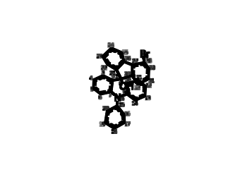 OC1(c2ccccc2N(c2ccccc2)c2ccccc2)c2ccccc2-c2c(Br)cccc21